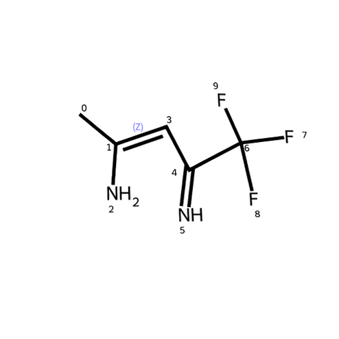 C/C(N)=C/C(=N)C(F)(F)F